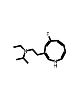 CCN(CCc1c[nH]ccccc(F)c1)C(C)C